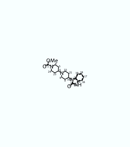 COC(=O)N1CCC(N2CCC(n3c(=O)[nH]c4ccccc43)CC2)CC1